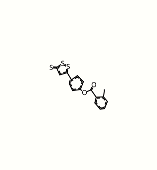 Cc1ccccc1C(=O)Oc1ccc(-c2cc(=S)ss2)cc1